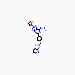 Nc1nc(-c2ccc(CNCc3ccccn3)cc2)cn2nc(-c3ccco3)nc12